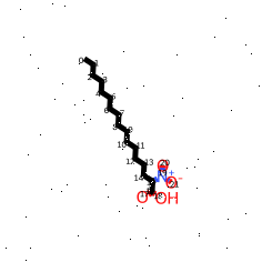 CCCCCCCCCCCCCCCC(C(=O)O)[N+](=O)[O-]